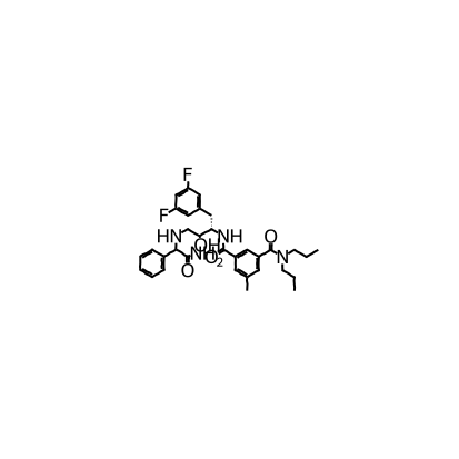 CCCN(CCC)C(=O)c1cc(C)cc(C(=O)N[C@@H](Cc2cc(F)cc(F)c2)[C@H](O)CNC(C(N)=O)c2ccccc2)c1